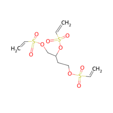 C=CS(=O)(=O)OCCC(COS(=O)(=O)C=C)OS(=O)(=O)C=C